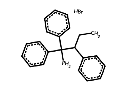 Br.CCC(c1ccccc1)C(P)(c1ccccc1)c1ccccc1